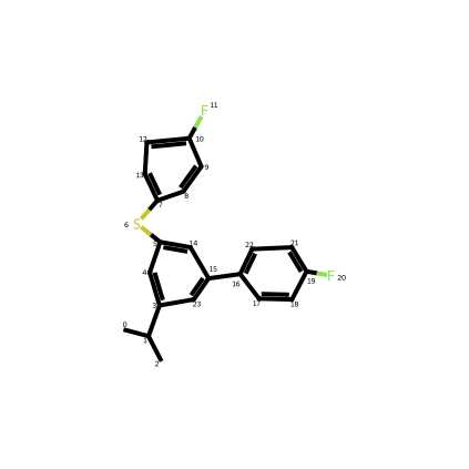 CC(C)c1cc(Sc2ccc(F)cc2)cc(-c2ccc(F)cc2)c1